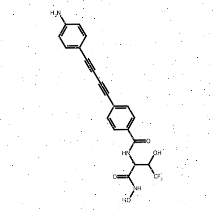 Nc1ccc(C#CC#Cc2ccc(C(=O)NC(C(=O)NO)C(O)C(F)(F)F)cc2)cc1